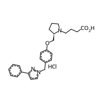 Cl.O=C(O)CCCN1CCC[C@@H]1COc1ccc(Cn2ccc(-c3ccccc3)n2)cc1